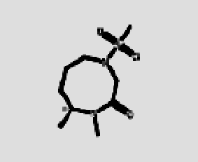 C[C@H]1CCCN(S(C)(=O)=O)CC(=O)N1C